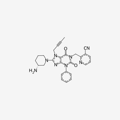 CC#CCn1c(N2CCC[C@@H](N)C2)nc2c1c(=O)n(Cc1ncccc1C#N)c(=O)n2-c1ccccc1